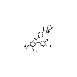 Cc1cc2nc(N3CCC(C(=O)N[C@@H]4CCOC4)CC3)n(-c3ccc(C)c(Cl)c3)c2cc1C